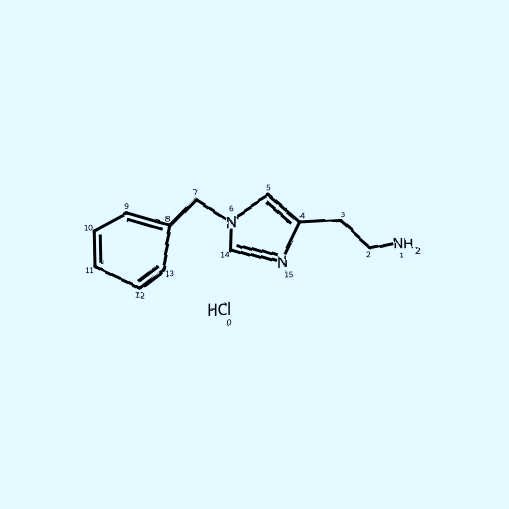 Cl.NCCc1cn(Cc2ccccc2)cn1